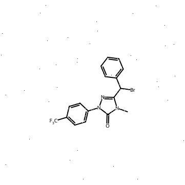 Cn1c(C(Br)c2ccccc2)nn(-c2ccc(C(F)(F)F)cc2)c1=O